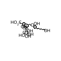 O=C(O)Cc1ccc2cc(CCOc3ccc(/C=C/C=C/C=C/O)cc3O)cc(OCC3OC(O)C(O)C(O)C3O)c(=O)c2c1O